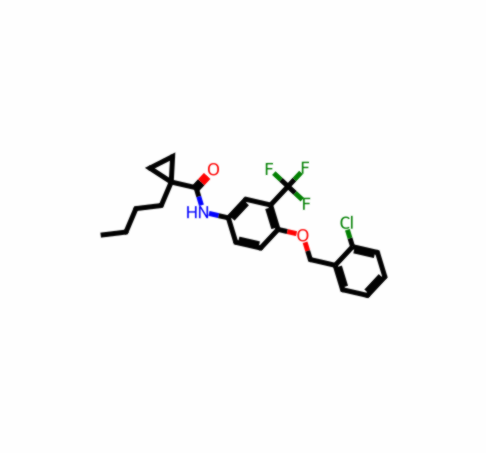 CCCCC1(C(=O)Nc2ccc(OCc3ccccc3Cl)c(C(F)(F)F)c2)CC1